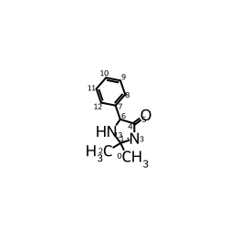 CC1(C)[N]C(=O)C(c2ccccc2)N1